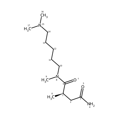 C[C@H](CC(N)=O)C(=O)N(C)CCCCCN(C)C